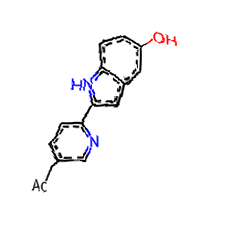 CC(=O)c1ccc(-c2cc3cc(O)ccc3[nH]2)nc1